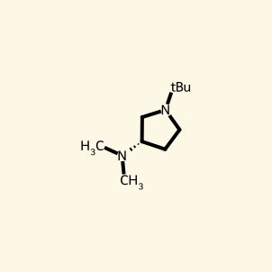 CN(C)[C@H]1CCN(C(C)(C)C)C1